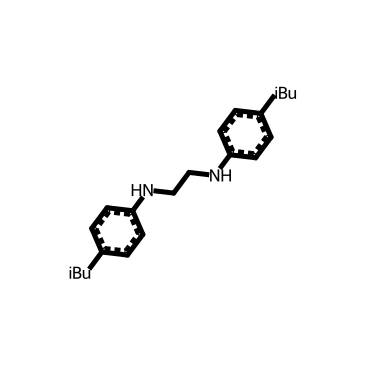 CCC(C)c1ccc(NCCNc2ccc(C(C)CC)cc2)cc1